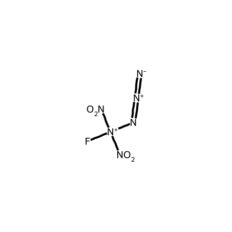 [N-]=[N+]=N[N+](F)([N+](=O)[O-])[N+](=O)[O-]